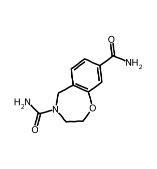 NC(=O)c1ccc2c(c1)OCCN(C(N)=O)C2